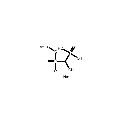 CCCCCCOP(=O)([O-])C(O)P(=O)(O)O.[Na+]